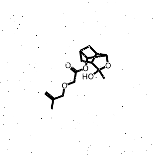 C=C(C)COCC(=O)OC1C2CC3C1OC(C)(O)C3C2